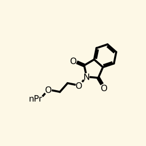 CCCOCCON1C(=O)c2ccccc2C1=O